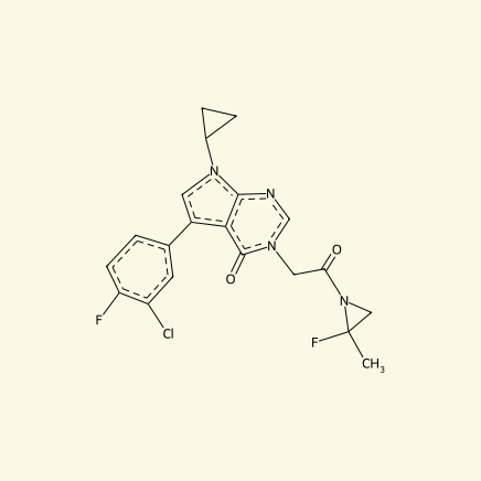 CC1(F)CN1C(=O)Cn1cnc2c(c(-c3ccc(F)c(Cl)c3)cn2C2CC2)c1=O